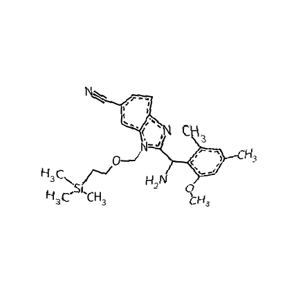 COc1cc(C)cc(C)c1C(N)c1nc2ccc(C#N)cc2n1COCC[Si](C)(C)C